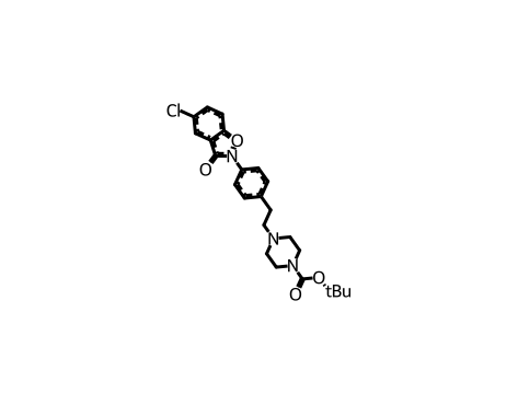 CC(C)(C)OC(=O)N1CCN(CCc2ccc(-n3oc4ccc(Cl)cc4c3=O)cc2)CC1